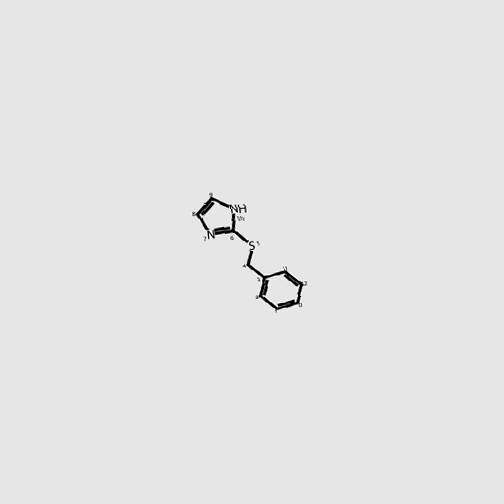 c1ccc(CSc2ncc[nH]2)cc1